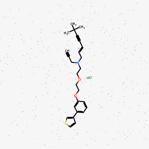 C#CCN(C/C=C/C#CC(C)(C)C)CCOCCOc1cccc(-c2ccsc2)c1.Cl